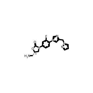 NC[C@H]1CN(c2ccc(-n3cnc(Cn4cccn4)c3)c(F)c2)C(=O)O1